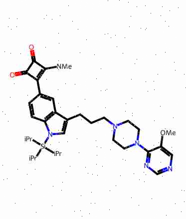 CNc1c(-c2ccc3c(c2)c(CCCN2CCN(c4ncncc4OC)CC2)cn3[Si](C(C)C)(C(C)C)C(C)C)c(=O)c1=O